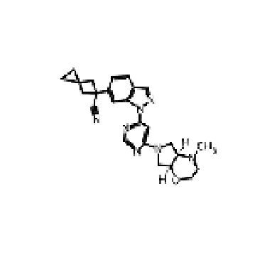 CN1CCO[C@H]2CN(c3cc(-n4ncc5ccc(C6(C#N)CC7(CC7)C6)cc54)ncn3)C[C@H]21